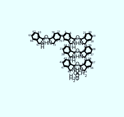 C=O.O.O.c1ccc2c(c1)CNC2OC1NCc2ccccc21.c1ccc2c(c1)CNC2OC1NCc2ccccc21.c1ccc2c(c1)CNC2OC1NCc2ccccc21.c1ccc2c(c1)CNC2OC1NCc2ccccc21